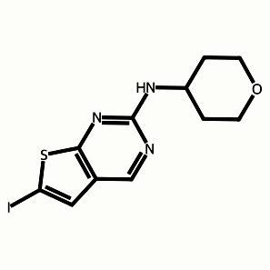 Ic1cc2cnc(NC3CCOCC3)nc2s1